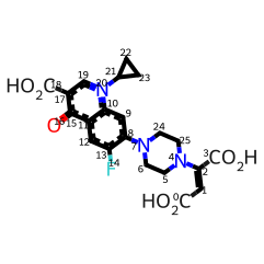 O=C(O)/C=C(/C(=O)O)N1CCN(c2cc3c(cc2F)c(=O)c(C(=O)O)cn3C2CC2)CC1